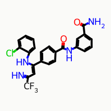 N=C(/C=C(\Nc1ccccc1Cl)c1ccc(C(=O)Nc2cccc(C(N)=O)c2)cc1)C(F)(F)F